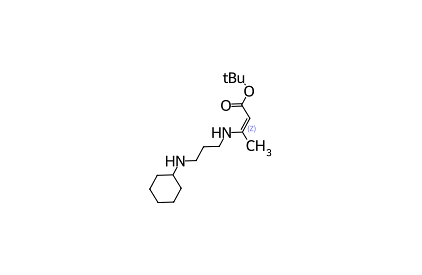 C/C(=C/C(=O)OC(C)(C)C)NCCCNC1CCCCC1